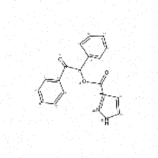 O=C(OC(C(=O)c1ccccc1)c1ccccc1)c1cc[nH]n1